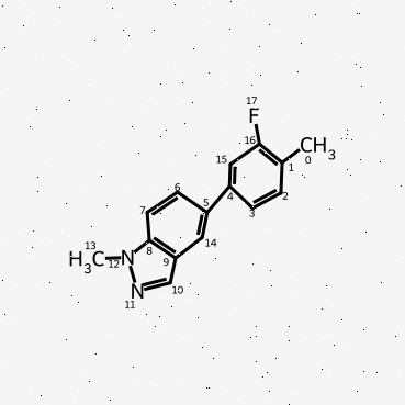 Cc1ccc(-c2ccc3c(cnn3C)c2)cc1F